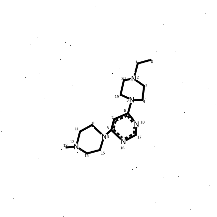 CCN1CCN(c2cc(N3CCN(C)CC3)ncn2)CC1